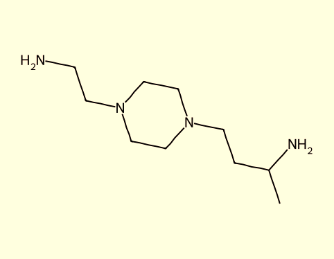 CC(N)CCN1CCN(CCN)CC1